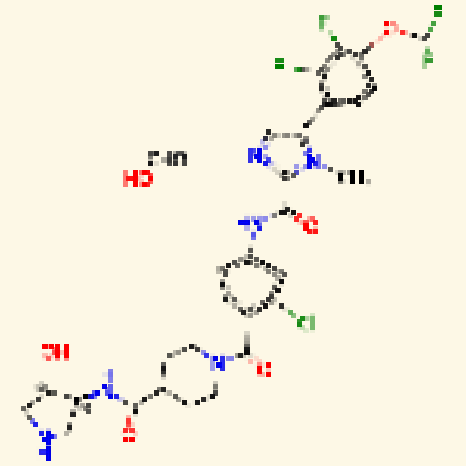 Cn1c(-c2ccc(OC(F)F)c(F)c2F)cnc1C(=O)Nc1ccc(C(=O)N2CCC(C(=O)N[C@H]3CNC[C@@H]3O)CC2)c(Cl)c1.O=CO